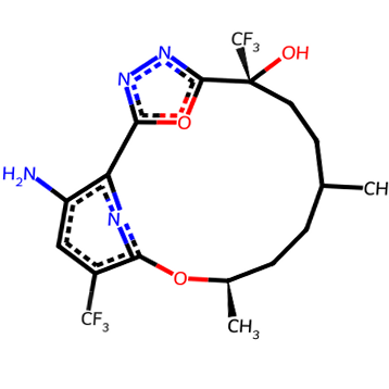 CC1CC[C@@H](C)Oc2nc(c(N)cc2C(F)(F)F)-c2nnc(o2)[C@@](O)(C(F)(F)F)CC1